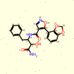 NC(=O)C(O)C(Cc1ccccc1)NC(=O)c1cnoc1-c1cccc2c1OCO2